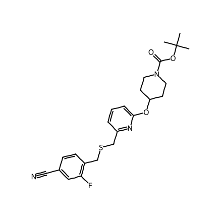 CC(C)(C)OC(=O)N1CCC(Oc2cccc(CSCc3ccc(C#N)cc3F)n2)CC1